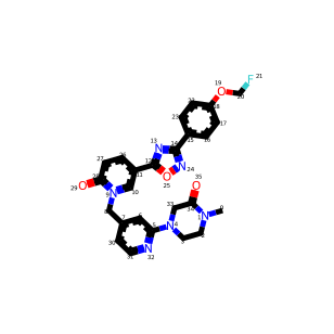 CN1CCN(c2cc(Cn3cc(-c4nc(-c5ccc(OCF)cc5)no4)ccc3=O)ccn2)CC1=O